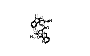 CC(C)(C)C[C@@H](C(=O)N1C[C@]2(C[C@H]1C#N)C(=O)Nc1ccccc12)N1Cc2cccnc2C1=O